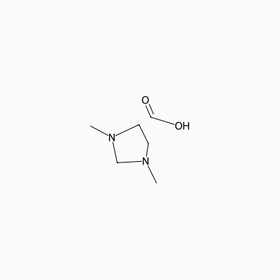 CN1CCN(C)C1.O=CO